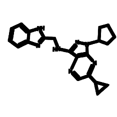 c1ccc2[nH]c(CNc3nn(C4CCCC4)c4nc(C5CC5)cnc34)nc2c1